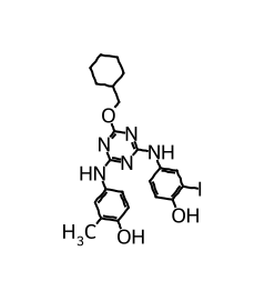 Cc1cc(Nc2nc(Nc3ccc(O)c(I)c3)nc(OCC3CCCCC3)n2)ccc1O